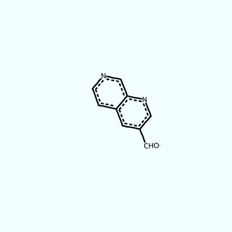 O=[C]c1cnc2cnccc2c1